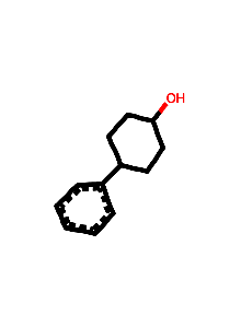 OC1CCC(c2ccccc2)CC1